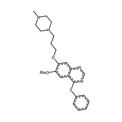 COc1cc2c(Sc3ccccc3)ncnc2cc1OCCCN1CCN(C)CC1